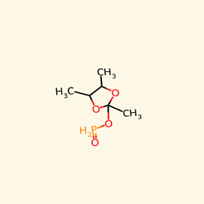 CC1OC(C)(O[PH2]=O)OC1C